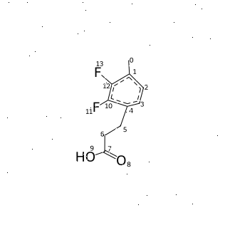 Cc1ccc(CCC(=O)O)c(F)c1F